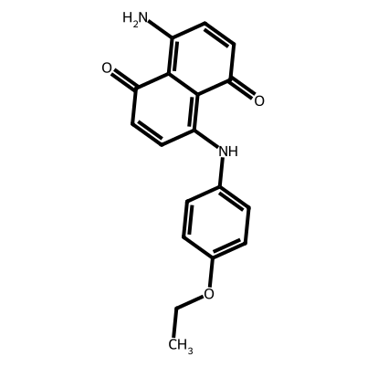 CCOc1ccc(NC2=C3C(=O)C=CC(N)=C3C(=O)C=C2)cc1